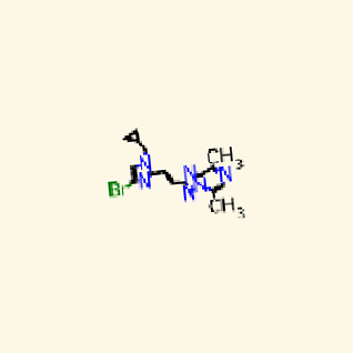 Cc1ncc(C)n2nc(C=Cc3nc(Br)cn3CC3CC3)nc12